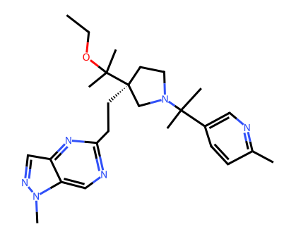 CCOC(C)(C)[C@@]1(CCc2ncc3c(cnn3C)n2)CCN(C(C)(C)c2ccc(C)nc2)C1